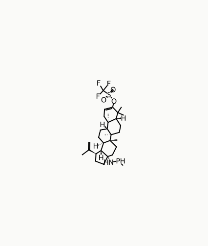 C=C(C)[C@@H]1CC[C@]2(NPC)CC[C@]3(C)[C@H](CC[C@@H]4[C@@]5(C)CC=C(OS(=O)(=O)C(F)(F)F)C(C)(C)[C@@H]5CC[C@]43C)[C@@H]12